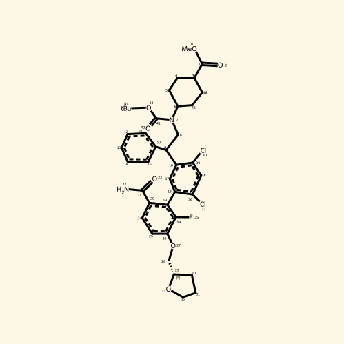 COC(=O)C1CCC(N(CC(c2ccccc2)c2cc(-c3c(C(N)=O)ccc(OC[C@@H]4CCCO4)c3F)c(Cl)cc2Cl)C(=O)OC(C)(C)C)CC1